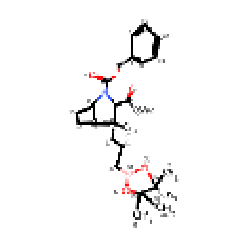 COC(=O)C1N(C(=O)OCc2ccccc2)C2CCC2C1(C)CCCB1OC(C)(C)C(C)(C)O1